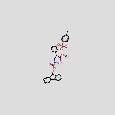 Cc1ccc(S(=O)(=O)Oc2cccc(C(CNC(=O)OCC3c4ccccc4-c4ccccc43)C(=O)OC(C)C)c2)cc1